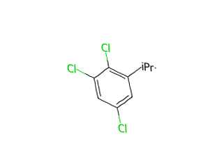 C[C](C)c1cc(Cl)cc(Cl)c1Cl